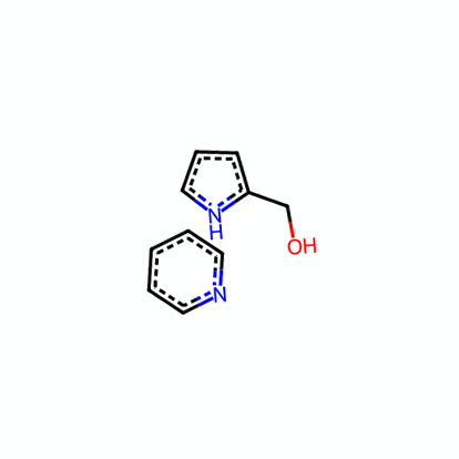 OCc1ccc[nH]1.c1ccncc1